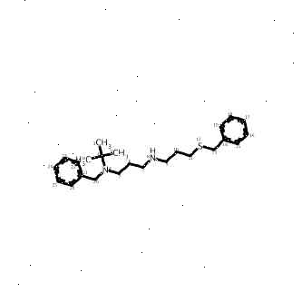 CC(C)(C)N(CCCNCCCSCc1ccccc1)Cc1ccccc1